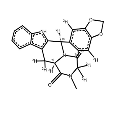 [2H]c1c([2H])c([C@]2([2H])c3[nH]c4ccccc4c3C([2H])([2H])[C@]3([2H])C(=O)N(C)C([2H])([2H])C(=O)N23)c([2H])c2c1OCO2